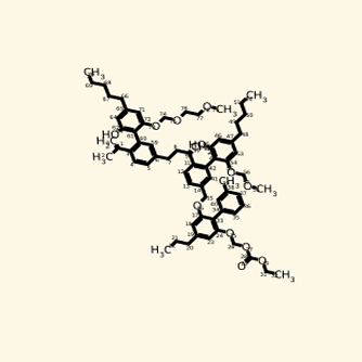 C=C(C)c1ccc(CCC(=C)c2ccc(COc3cc(CCC)cc(OCOC(=O)OCC)c3-c3cccc(C)c3)cc2-c2c(O)cc(CCCCC)cc2OCOC)cc1-c1c(O)cc(CCCCC)cc1OCOCCOC